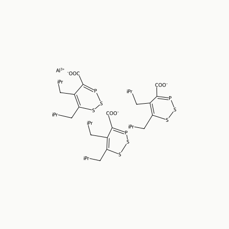 CC(C)CC1=C(CC(C)C)C(C(=O)[O-])=PSS1.CC(C)CC1=C(CC(C)C)C(C(=O)[O-])=PSS1.CC(C)CC1=C(CC(C)C)C(C(=O)[O-])=PSS1.[Al+3]